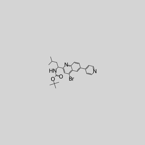 CC(C)CC(NC(=O)OC(C)(C)C)c1cc(Br)c2cc(-c3ccncc3)ccc2n1